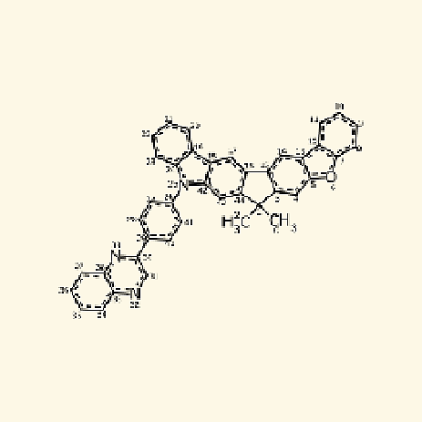 CC1(C)c2cc3oc4ccccc4c3cc2-c2cc3c4ccccc4n(-c4ccc(-c5cnc6ccccc6n5)cc4)c3cc21